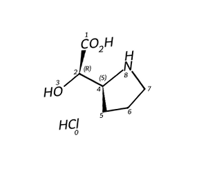 Cl.O=C(O)[C@H](O)[C@@H]1CCCN1